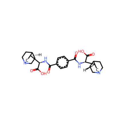 O=C(N[C@@H](C(=O)O)[C@H]1CN2CCC1CC2)c1ccc(C(=O)N[C@@H](C(=O)O)[C@H]2CN3CCC2CC3)cc1